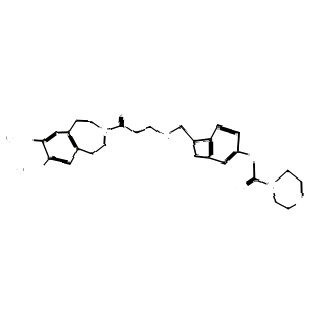 COc1cc2c(cc1OC)CCN(C(=O)CCNCC1Cc3cc(OC(=O)N4CCOCC4)ccc31)CC2.Cl